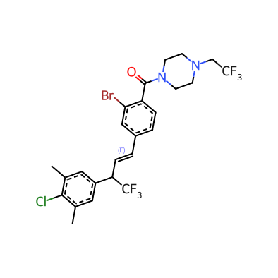 Cc1cc(C(/C=C/c2ccc(C(=O)N3CCN(CC(F)(F)F)CC3)c(Br)c2)C(F)(F)F)cc(C)c1Cl